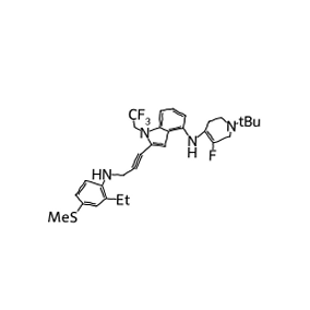 CCc1cc(SC)ccc1NCC#Cc1cc2c(NC3=C(F)CN(C(C)(C)C)CC3)cccc2n1CC(F)(F)F